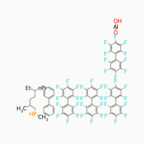 CCCC(CC)CCC(C)CPC.Fc1c(F)c(F)c(-c2c(F)c(F)c(F)c(F)c2F)c(F)c1F.Fc1c(F)c(F)c(-c2c(F)c(F)c(F)c(F)c2F)c(F)c1F.Fc1c(F)c(F)c(-c2c(F)c(F)c(F)c(F)c2F)c(F)c1F.Fc1c(F)c(F)c(-c2c(F)c(F)c(F)c(F)c2F)c(F)c1F.[O]=[Al][OH].c1ccc(-c2ccccc2)cc1